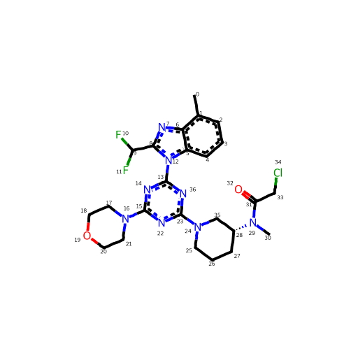 Cc1cccc2c1nc(C(F)F)n2-c1nc(N2CCOCC2)nc(N2CCC[C@@H](N(C)C(=O)CCl)C2)n1